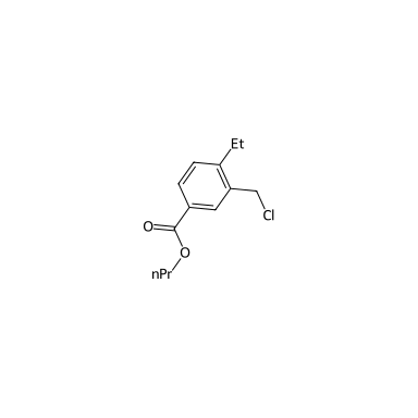 CCCOC(=O)c1ccc(CC)c(CCl)c1